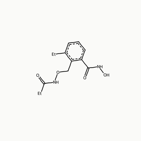 CCC(=O)NOCc1c(CC)cccc1C(=O)NO